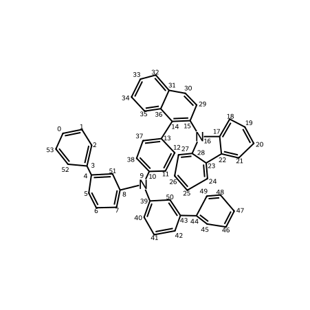 c1ccc(-c2cccc(N(c3ccc(-c4c(-n5c6ccccc6c6ccccc65)ccc5ccccc45)cc3)c3cccc(-c4ccccc4)c3)c2)cc1